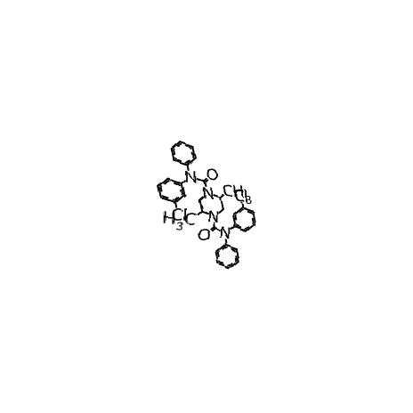 CC1CN(C(=O)N(c2ccccc2)c2cccc(Cl)c2)C(C)CN1C(=O)N(c1ccccc1)c1cccc(Cl)c1